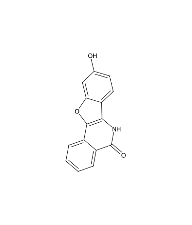 O=c1[nH]c2c3ccc(O)cc3oc2c2ccccc12